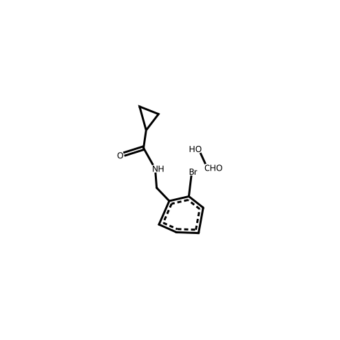 O=C(NCc1ccccc1Br)C1CC1.O=CO